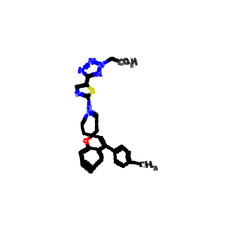 Cc1ccc(C2=CC3(CCN(c4ncc(-c5nnn(CC(=O)O)n5)s4)CC3)Oc3ccccc32)cc1